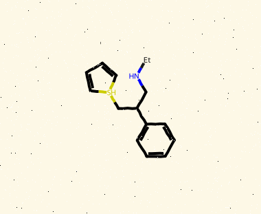 CCNCC(C[SH]1C=CC=C1)c1ccccc1